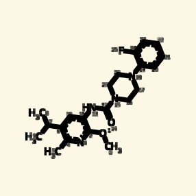 COc1nc(C)c(C(C)C)cc1NC(=O)N1CCN(c2ccccc2F)CC1